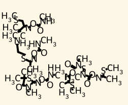 CNC(=O)O/N=C(/C)SCCC#N.CNC(=O)O/N=C1\SC(C)(C)C(=O)N1C.CNC(=O)ON=C(CSC)C(C)(C)C.CS/C(C)=N\OC(=O)N(C)SN(C)C(=O)O/N=C(/C)SC